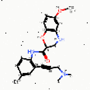 CCc1ccc(NC(=O)C2CNc3cc(OC(F)(F)F)ccc3O2)c(C#CCN(C)C)c1